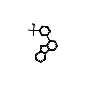 [2H]C(C)(C)c1ccnc(-c2cccc3c2oc2ccccc23)c1